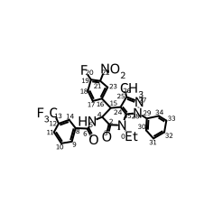 CCN1C(=O)C(NC(=O)c2cccc(C(F)(F)F)c2)C(c2ccc(F)c([N+](=O)[O-])c2)c2c(C)nn(-c3ccccc3)c21